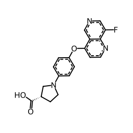 O=C(O)[C@H]1CCN(c2ccc(Oc3ccnc4c(F)cncc34)cc2)C1